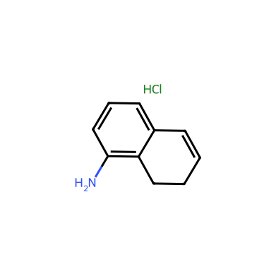 Cl.Nc1cccc2c1CCC=C2